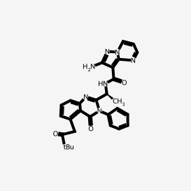 C[C@H](NC(=O)c1c(N)nn2cccnc12)c1nc2cccc(CC(=O)C(C)(C)C)c2c(=O)n1-c1ccccc1